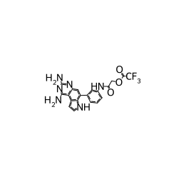 Nc1nc(N)c2c(cc(-c3cccc(NC(=O)COC(=O)C(F)(F)F)c3)c3[nH]ccc32)n1